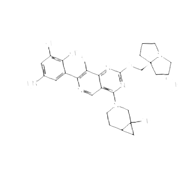 Nc1cc(Cl)c(C(F)(F)F)c(-c2ncc3c(N4CCC5CC5(O)C4)nc(OC[C@@]45CCCN4C[C@H](F)C5)nc3c2F)c1